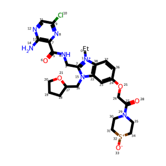 CC[n+]1c(CNC(=O)c2nc(Cl)cnc2N)n(CC2CCCO2)c2cc(OCC(=O)N3CC[S+]([O-])CC3)ccc21